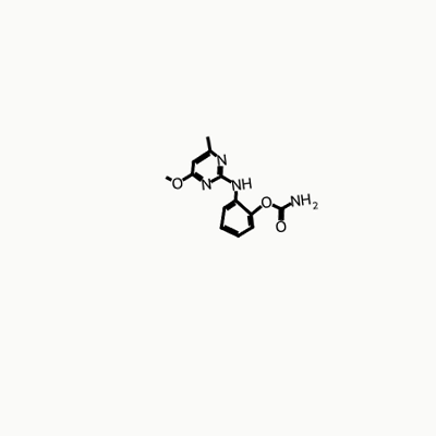 COc1cc(C)nc(Nc2ccccc2OC(N)=O)n1